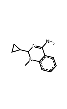 CN1c2ccccc2C(N)=NC1C1CC1